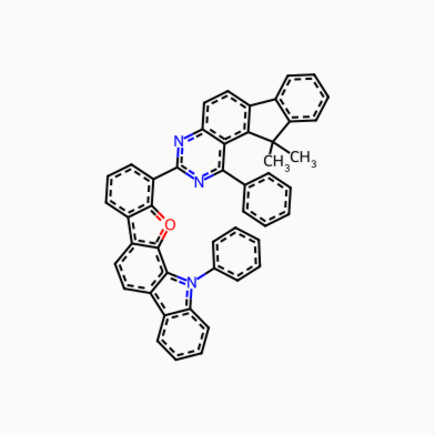 CC1(C)c2ccccc2-c2ccc3nc(-c4cccc5c4oc4c5ccc5c6ccccc6n(-c6ccccc6)c54)nc(-c4ccccc4)c3c21